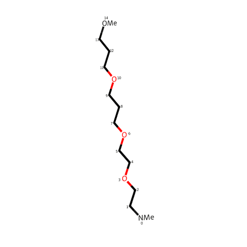 CNCCOCCOCCCOCCCOC